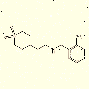 O=[N+]([O-])c1ccccc1CNCCC1CCS(=O)(=O)CC1